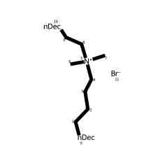 CCCCCCCCCCCCCC[N+](C)(C)CCCCCCCCCCCC.[Br-]